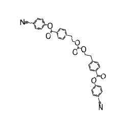 N#Cc1ccc(OC(=O)c2ccc(CCOC(=O)OCCc3ccc(C(=O)Oc4ccc(C#N)cc4)cc3)cc2)cc1